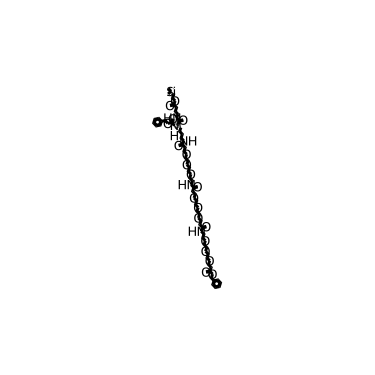 C[Si](C)(C)CCOC(=O)CCCNC(=O)[C@H](CCCCNC(=O)CCOCCOCCOCCNC(=O)CCOCCOCCOCCC(=O)NCCOCCOCCOCCC(=O)OCc1ccccc1)NC(=O)OCc1ccccc1